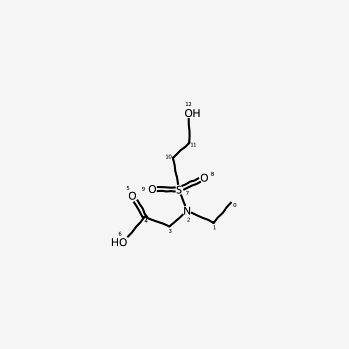 CCN(CC(=O)O)S(=O)(=O)CCO